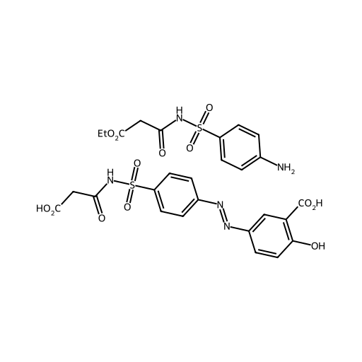 CCOC(=O)CC(=O)NS(=O)(=O)c1ccc(N)cc1.O=C(O)CC(=O)NS(=O)(=O)c1ccc(/N=N/c2ccc(O)c(C(=O)O)c2)cc1